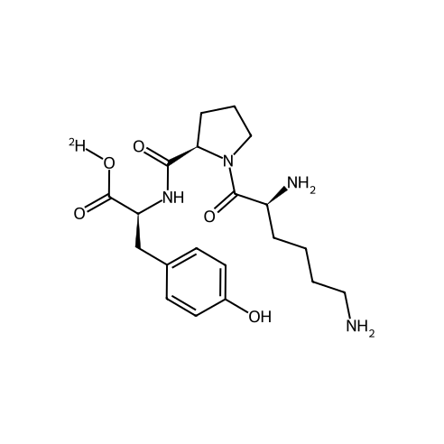 [2H]OC(=O)[C@H](Cc1ccc(O)cc1)NC(=O)[C@H]1CCCN1C(=O)[C@@H](N)CCCCN